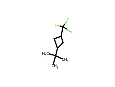 CC(C)(C)C1CC(C(F)(F)F)C1